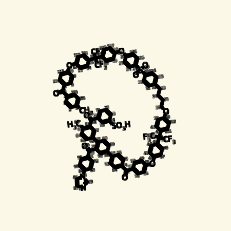 Cc1ccc(C(=O)c2ccc(Oc3ccc(C(c4ccc(Oc5ccc(S(=O)(=O)c6ccc(CCCCOc7ccc(C(c8ccc(Oc9ccc(C(=O)c%10ccc(-c%11ccc(-c%12ccc(C)c(C(=O)c%13cccc(S(=O)(=O)O)c%13)c%12)c(C(=O)c%12ccc(-n%13ccnc%13)cc%12)c%11)cc%10)cc9)cc8)(C(F)(F)F)C(F)(F)F)cc7)cc6)cc5)cc4)(C(F)(F)F)C(F)(F)F)cc3)cc2)cc1